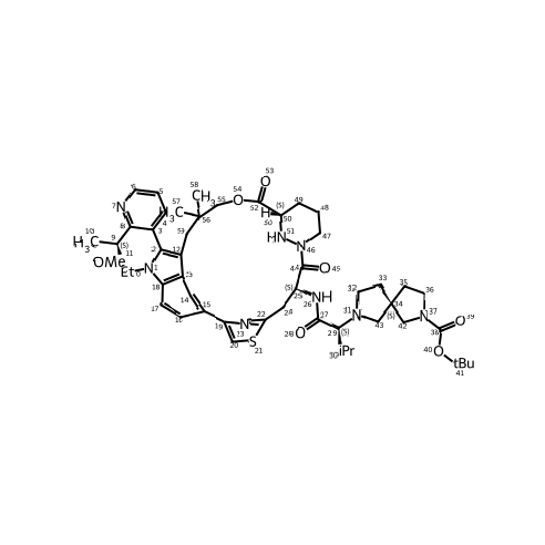 CCn1c(-c2cccnc2[C@H](C)OC)c2c3cc(ccc31)-c1csc(n1)C[C@H](NC(=O)[C@H](C(C)C)N1CC[C@]3(CCN(C(=O)OC(C)(C)C)C3)C1)C(=O)N1CCC[C@H](N1)C(=O)OCC(C)(C)C2